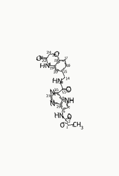 CCS(=O)(=O)Nc1c[nH]c2c(C(=O)NCc3ccc4c(c3)NC(=O)CO4)ncnc12